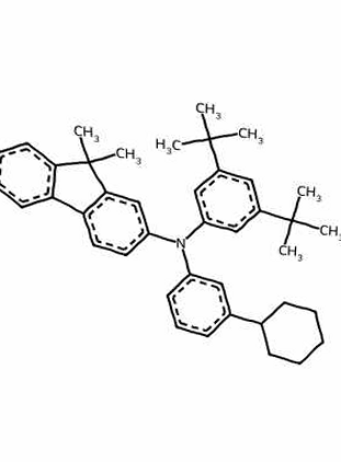 CC(C)(C)c1cc(N(c2cccc(C3CCCCC3)c2)c2ccc3c(c2)C(C)(C)c2ccccc2-3)cc(C(C)(C)C)c1